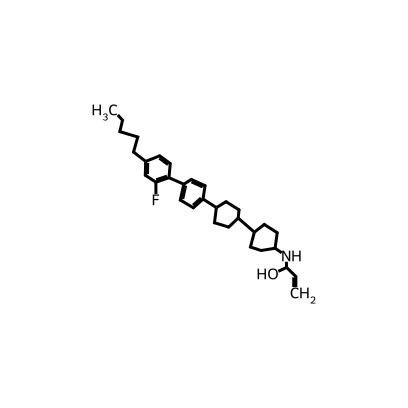 C=CC(O)NC1CCC(C2CCC(c3ccc(-c4ccc(CCCCC)cc4F)cc3)CC2)CC1